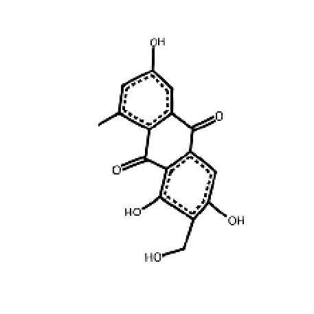 Cc1cc(O)cc2c1C(=O)c1c(cc(O)c(CO)c1O)C2=O